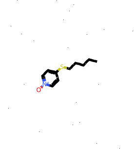 CCCCCSc1cc[n+]([O-])cc1